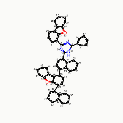 c1ccc(C2N=C(c3cccc4c3oc3ccccc34)N=C(c3ccc(-c4ccc(-c5cccc6ccccc56)c5oc6ccccc6c45)c4ccccc34)N2)cc1